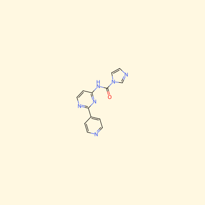 O=C(Nc1ccnc(-c2ccncc2)n1)n1ccnc1